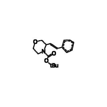 CC(C)(C)OC(=O)N1CCOCC1/C=C/c1ccccc1